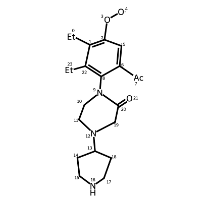 CCc1c(O[O])[c]c(C(C)=O)c(N2CCN(C3CCNCC3)CC2=O)c1CC